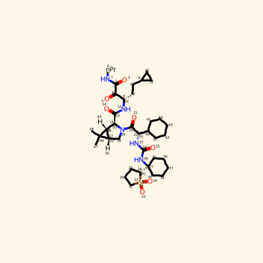 CCCNC(=O)C(=O)[C@H](CCC1CC1)NC(=O)[C@@H]1[C@@H]2[C@H](CN1C(=O)[C@@H](NC(=O)NC1([C@H]3CCCS3(=O)=O)CCCCC1)C1CCCCC1)C2(C)C